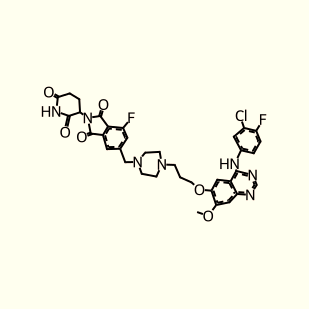 COc1cc2ncnc(Nc3ccc(F)c(Cl)c3)c2cc1OCCCN1CCN(Cc2cc(F)c3c(c2)C(=O)N(C2CCC(=O)NC2=O)C3=O)CC1